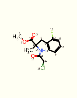 COC(=O)C(C)(Cc1ccccc1F)NC(=O)CCl